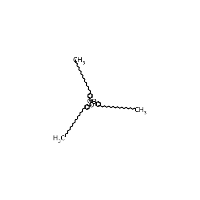 CCCCCCCCCCCCCCCCCc1ccc(OP(Oc2ccc(CCCCCCCCCCCCCCCCC)cc2)Oc2ccc(CCCCCCCCCCCCCCCCC)cc2)cc1